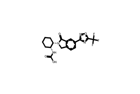 O=C(O)N[C@@H]1CCCC[C@@H]1N1Cc2ccc(-c3noc(C(F)(F)F)n3)cc2C1=O